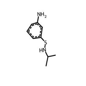 CC(C)NSc1cccc(N)c1